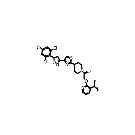 O=C(COc1ncccc1C(F)F)N1CCC(c2nc(C3=NOC(c4c(Cl)cc(Cl)cc4Cl)C3)cs2)CC1